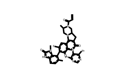 C=CC(=O)N1CC2Cc3c(c4cc(F)c(-c5c(C)ccc6[nH]c(=O)n(C)c56)c(Cl)c4n(-c4c(C(C)C)ncnc4C(C)C)c3=O)N2CC1C